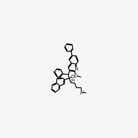 COc1nc2ccc(-c3ccccc3)cc2cc1C(c1ccccc1)C(O)(CCCCN(C)C)c1ccc2ccccc2c1